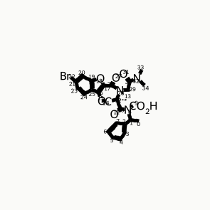 CC(c1ccccc1)N(C(=O)O)C(=O)[C@@]1(C)COc2c(oc3cc(Br)ccc23)C(=O)N1CC(=O)N(C)C